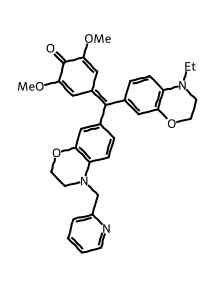 CCN1CCOc2cc(C(=C3C=C(OC)C(=O)C(OC)=C3)c3ccc4c(c3)OCCN4Cc3ccccn3)ccc21